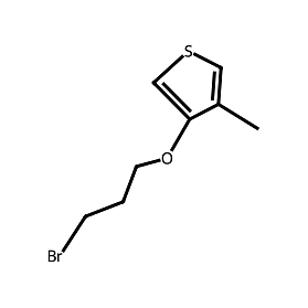 Cc1cscc1OCCCBr